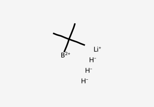 [B+2]C(C)(C)C.[H-].[H-].[H-].[Li+]